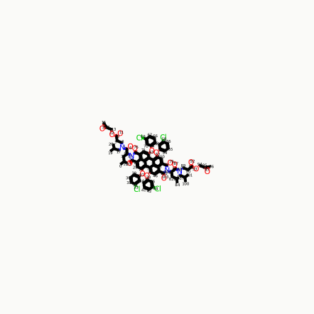 CC(C)CC(C(=O)N(CCC(=O)OCC1CO1)CC(C)C)N1C(=O)c2cc(Oc3cccc(Cl)c3)c3c4c(Oc5cccc(Cl)c5)cc5c6c(cc(Oc7cccc(Cl)c7)c(c7c(Oc8cccc(Cl)c8)cc(c2c37)C1=O)c64)C(=O)N(C(CC(C)C)C(=O)N(CCC(=O)OCC1CO1)CC(C)C)C5=O